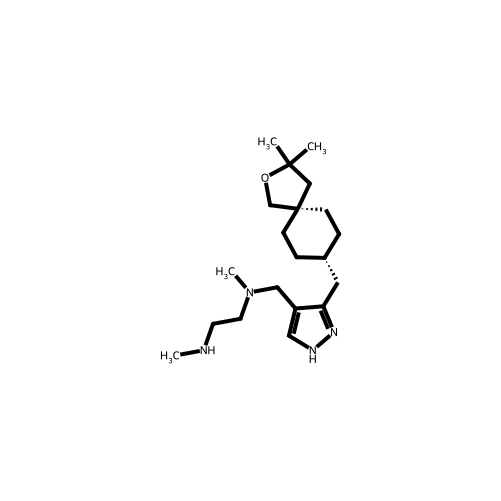 CNCCN(C)Cc1c[nH]nc1C[C@H]1CC[C@]2(CC1)COC(C)(C)C2